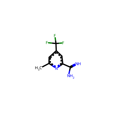 Cc1cc(C(F)(F)F)cc(C(=N)N)n1